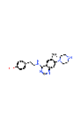 O=[N+]([O-])c1cc2c(NCCc3ccc(O)cc3)ncnc2cc1N1CCNCC1